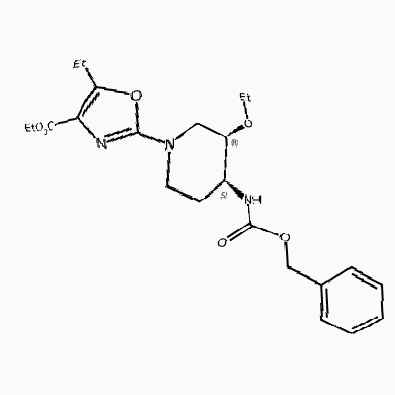 CCOC(=O)c1nc(N2CC[C@H](NC(=O)OCc3ccccc3)[C@H](OCC)C2)oc1CC